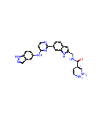 N/C=C\C(=C/N)C(=O)NCc1cc2ccc(-c3nccc(Nc4ccc5[nH]ncc5c4)n3)cc2[nH]1